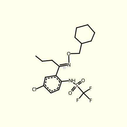 CCC/C(=N\OCC1CCCCC1)c1cc(Cl)ccc1NS(=O)(=O)C(F)(F)F